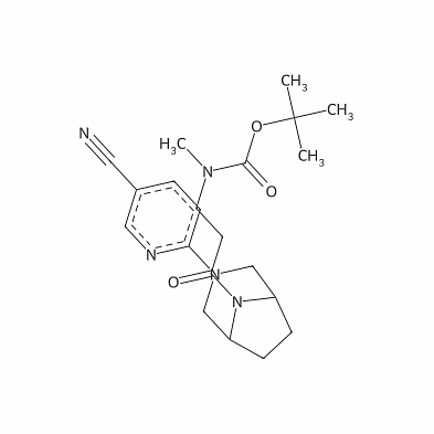 CN(CCC(=O)N1C2CCC1CN(c1ccc(C#N)cn1)C2)C(=O)OC(C)(C)C